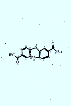 CCC(C)C(=O)c1ccc2c(c1)Sc1ccc(C(=O)C(C)CC)cc1S2